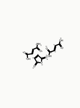 NC(=O)C=CC(=O)O.O=C(O)C=CC(=O)O.O=C1C=CC(=O)O1